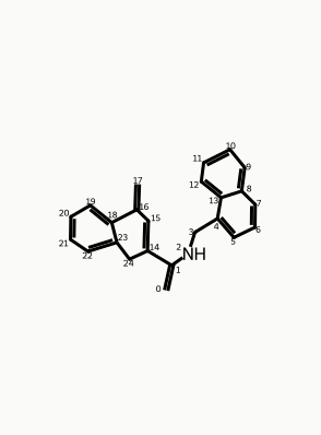 C=C(NCc1cccc2ccccc12)C1=CC(=C)c2ccccc2C1